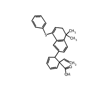 C=CC1(C(=O)O)C=CC=CC1c1ccc2c(c1)C(Sc1ccccc1)=CCC2(C)C